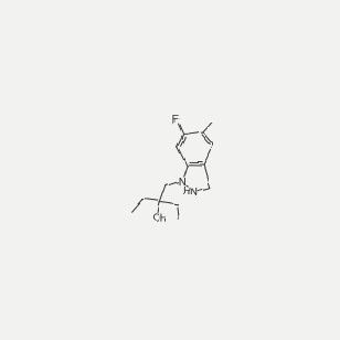 CCC(O)(CC)CN1NCc2cc(C)c(F)cc21